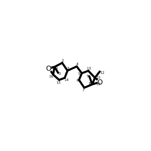 CC12CC(CC3CCC4(C)OC4(C)C3)CCC1O2